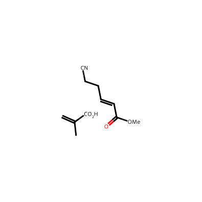 C=C(C)C(=O)O.COC(=O)C=CCCC#N